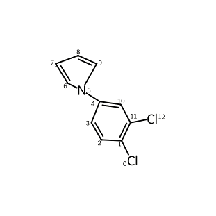 Clc1ccc(-n2c[c]cc2)cc1Cl